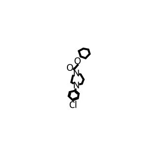 O=C(COC1CCCCC1)N1CCCN(c2ccc(Cl)cc2)CC1